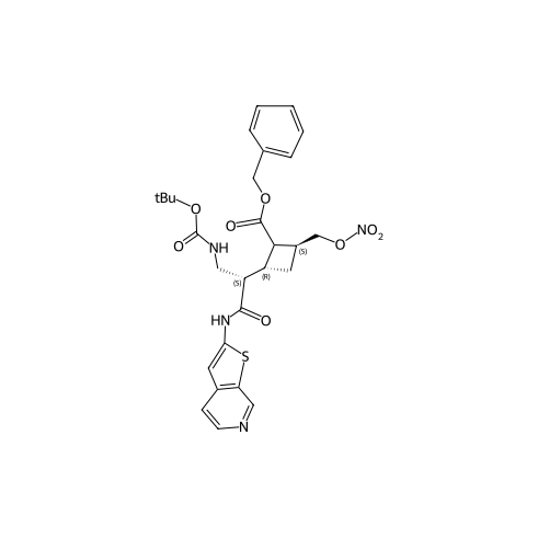 CC(C)(C)OC(=O)NC[C@@H](C(=O)Nc1cc2ccncc2s1)[C@H]1C[C@H](CO[N+](=O)[O-])C1C(=O)OCc1ccccc1